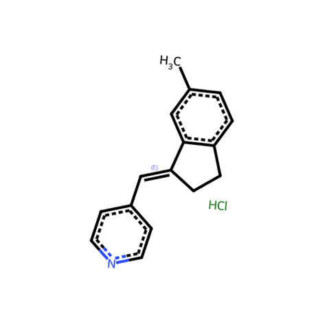 Cc1ccc2c(c1)/C(=C/c1ccncc1)CC2.Cl